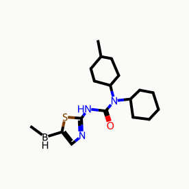 CBc1cnc(NC(=O)N(C2CCCCC2)C2CCC(C)CC2)s1